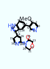 COc1ccncc1-c1ccc2[nH]nc(-c3ccnc(N4CCOCC4=O)c3)c2c1